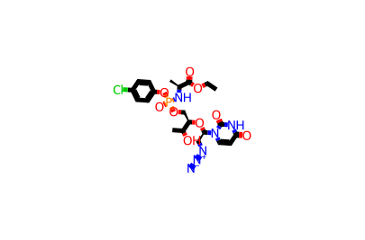 CCOC(=O)[C@H](C)NP(=O)(OC[C@@H](O[C@H](CN=[N+]=[N-])n1ccc(=O)[nH]c1=O)C(C)O)Oc1ccc(Cl)cc1